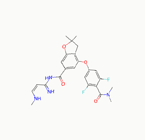 CN/C=C\C(=N)NC(=O)c1cc(Oc2cc(F)c(C(=O)N(C)C)c(F)c2)c2c(c1)OC(C)(C)C2